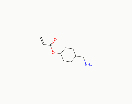 C=CC(=O)OC1CCC(CN)CC1